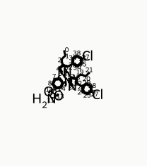 CCCc1cn(-c2ccc(S(N)(=O)=O)cc2-n2cc(CCC)c(-c3ccc(Cl)cc3)n2)nc1-c1ccc(Cl)cc1